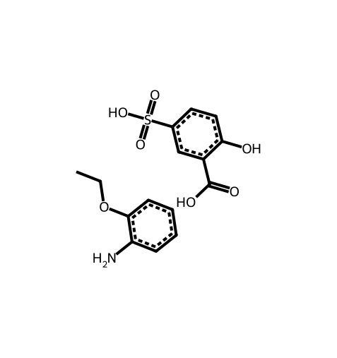 CCOc1ccccc1N.O=C(O)c1cc(S(=O)(=O)O)ccc1O